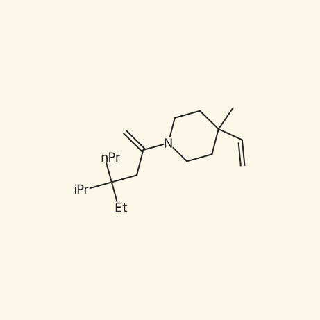 C=CC1(C)CCN(C(=C)CC(CC)(CCC)C(C)C)CC1